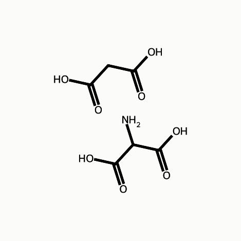 NC(C(=O)O)C(=O)O.O=C(O)CC(=O)O